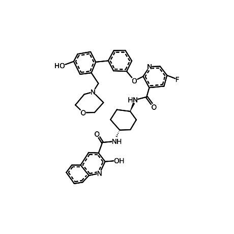 O=C(N[C@H]1CC[C@H](NC(=O)c2cc(F)cnc2Oc2cccc(-c3ccc(O)cc3CN3CCOCC3)c2)CC1)c1cc2ccccc2nc1O